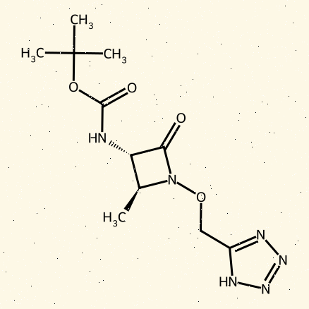 C[C@H]1[C@H](NC(=O)OC(C)(C)C)C(=O)N1OCc1nnn[nH]1